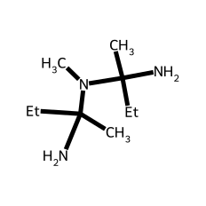 CCC(C)(N)N(C)C(C)(N)CC